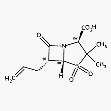 C=CC[C@@H]1C(=O)N2[C@@H](C(=O)O)C(C)(C)S(=O)(=O)[C@H]12